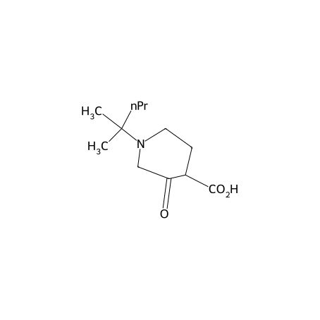 CCCC(C)(C)N1CCC(C(=O)O)C(=O)C1